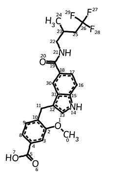 COc1cc(C(=O)O)ccc1Cc1c[nH]c2ccc(C(=O)NCC(C)CC(F)(F)F)cc12